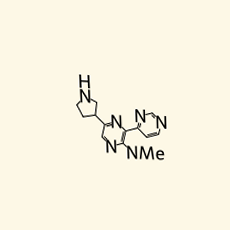 CNc1ncc(C2CCNC2)nc1-c1ccncn1